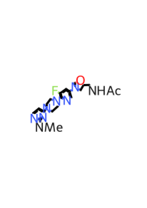 CNc1nccc(N2CCN(c3ncc(N4COC(CNC(C)=O)C4)cc3F)CC2)n1